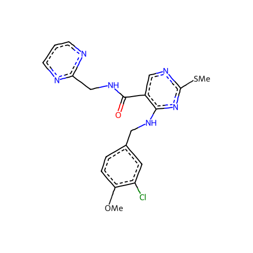 COc1ccc(CNc2nc(SC)ncc2C(=O)NCc2ncccn2)cc1Cl